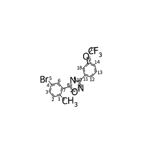 Cc1ccc(Br)cc1-c1nc(-c2cccc(OC(F)(F)F)c2)no1